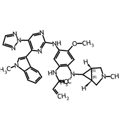 C=CC(=O)Nc1cc(Nc2ncc(-n3nccn3)c(-c3cn(C)c4ccccc34)n2)c(OC)cc1N(C)C1[C@H]2CN(C)C[C@@H]12